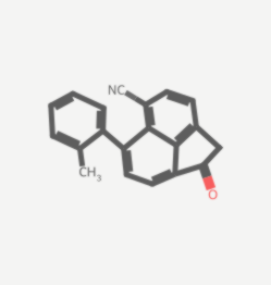 Cc1ccccc1-c1ccc2c3c(ccc(C#N)c13)CC2=O